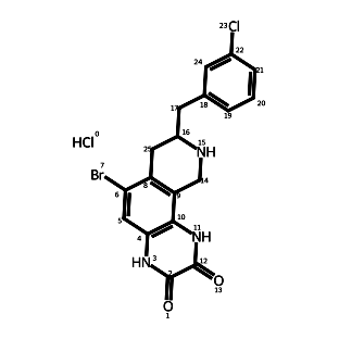 Cl.O=c1[nH]c2cc(Br)c3c(c2[nH]c1=O)CNC(Cc1cccc(Cl)c1)C3